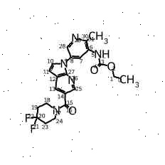 CCOC(=O)Nc1cc(-n2ccc3cc(C(=O)N4CCC(F)(F)CC4)cnc32)cnc1C